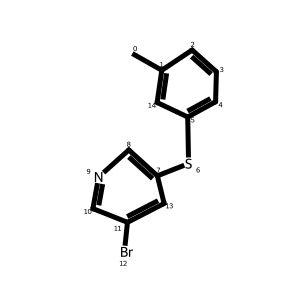 Cc1cccc(Sc2cncc(Br)c2)c1